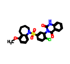 COc1cccc2c1CCCCN2S(=O)(=O)c1ccc(Cl)c(-n2c(=O)[nH]c3ccccc3c2=O)c1